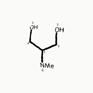 CNC(CO)CO